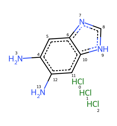 Cl.Cl.Cl.Nc1cc2nc[nH]c2cc1N